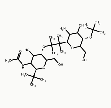 CC(=O)NC1C(O)[C@H](OC(C)(C)C(C)(C)[C@@H]2OC(CO)[C@@H](OC(C)(C)C)C(O)C2N)C(CO)O[C@H]1C(C)(C)C